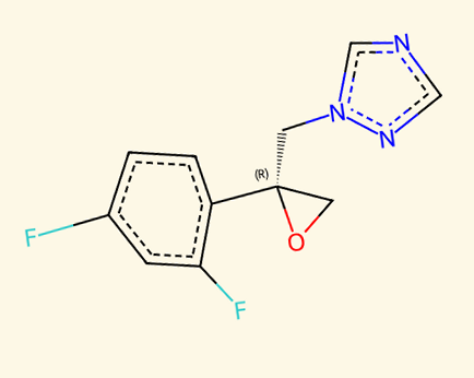 Fc1ccc([C@@]2(Cn3cncn3)CO2)c(F)c1